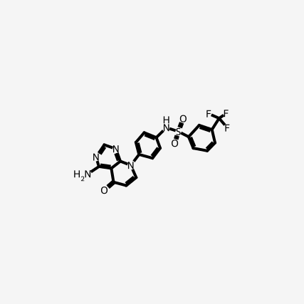 Nc1ncnc2c1c(=O)ccn2-c1ccc(NS(=O)(=O)c2cccc(C(F)(F)F)c2)cc1